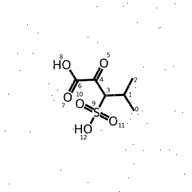 CC(C)C(C(=O)C(=O)O)S(=O)(=O)O